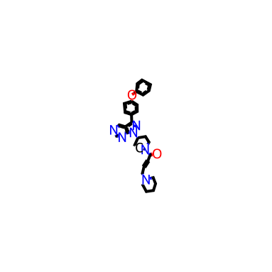 O=C(C#CCN1CCCCC1)N1CCC(n2nc(-c3ccc(Oc4ccccc4)cc3)c3cncnc32)CC1